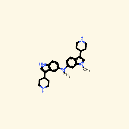 CN(c1ccc2[nH]cc(C3CCNCC3)c2c1)c1ccc2c(C3CCNCC3)cn(C)c2c1